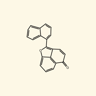 O=C1C=Cc2c(-c3cccc4ccccc34)oc3cccc1c23